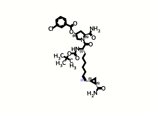 CC(C)(C)OC(=O)N[C@@H](CCCCC/C=C\[C@@H]1C[C@@H]1C(N)=O)C(=O)N1C[C@H](OC(=O)c2cccc(Cl)c2)C[C@H]1C(N)=O